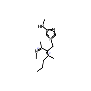 CCC/C(C)=C(Cn1cnc(NC)c1)\C(C)=N/C